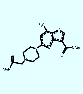 CNC(=O)CN1CCN(c2cc(C(F)(F)F)c3scc(C(=O)OC)c3n2)CC1